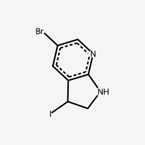 Brc1cnc2c(c1)C(I)CN2